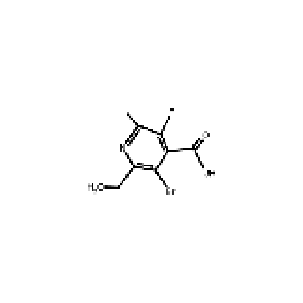 CCc1nc(I)c(F)c(C(=O)O)c1Br